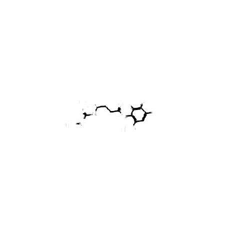 Cc1cc(C)c(NC(=O)CC[C@@H](NC(=O)OC(C)(C)C)C(=O)O)c(C)c1Br